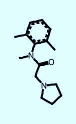 Cc1cccc(C)c1N(C)C(=O)CN1CCCC1